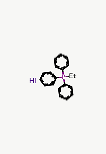 CC[P](c1ccccc1)(c1ccccc1)c1ccccc1.I